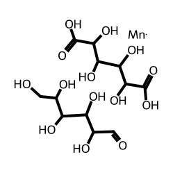 O=C(O)C(O)C(O)C(O)C(O)C(=O)O.O=CC(O)C(O)C(O)C(O)CO.[Mn]